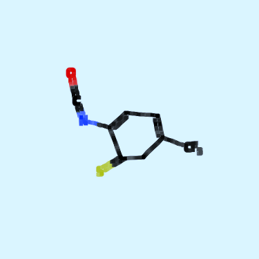 O=C=NC1=CC=C(C(F)(F)F)CC1=S